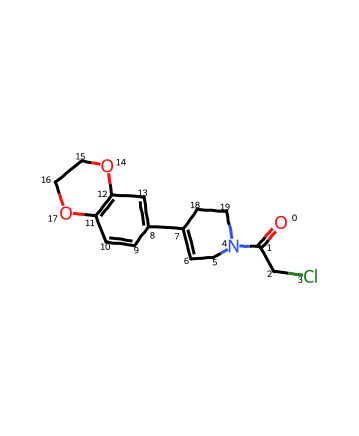 O=C(CCl)N1CC=C(c2ccc3c(c2)OCCO3)CC1